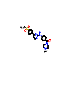 CNS(=O)(=O)c1ccc(-c2ccnc(Nc3ccc(C(=O)N4CCN(C(C)=O)CC4)cc3)n2)cc1